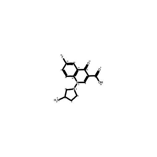 NC1CCN(n2cc(C(=O)O)c(=O)c3cc(F)ccc32)C1